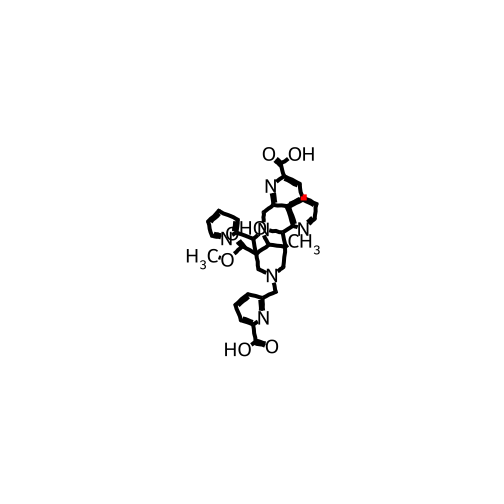 COC(=O)C12CN(Cc3cccc(C(=O)O)n3)CC(C)(C(c3ccccn3)N(Cc3cccc(C(=O)O)n3)C1c1ccccn1)C2O